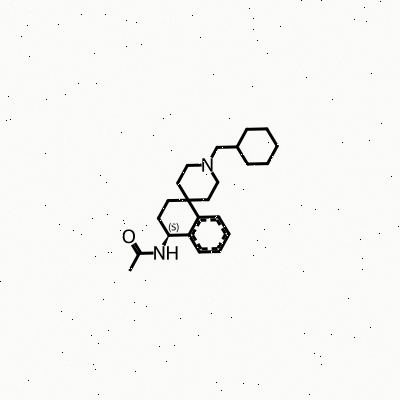 CC(=O)N[C@H]1CCC2(CCN(CC3CCCCC3)CC2)c2ccccc21